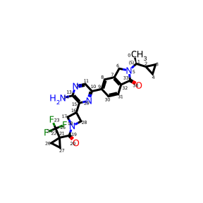 C[C@@H](C1CC1)N1Cc2cc(-c3cnc(N)c(C4CN(C(=O)C5(C(F)(F)F)CC5)C4)n3)ccc2C1=O